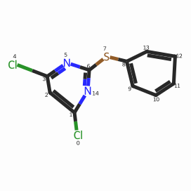 Clc1cc(Cl)nc(Sc2ccccc2)n1